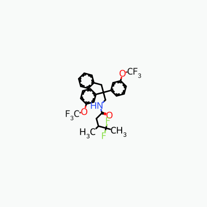 CC(CC(=O)NCC(Cc1ccccc1)(c1cccc(OC(F)(F)F)c1)c1cccc(OC(F)(F)F)c1)C(C)(F)F